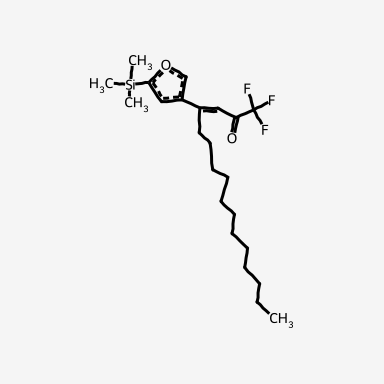 CCCCCCCCCCCCC(=CC(=O)C(F)(F)F)c1coc([Si](C)(C)C)c1